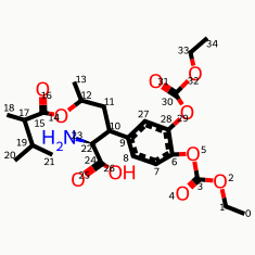 CCOC(=O)Oc1ccc(C(CC(C)OC(=O)C(C)C(C)C)[C@H](N)C(=O)O)cc1OC(=O)OCC